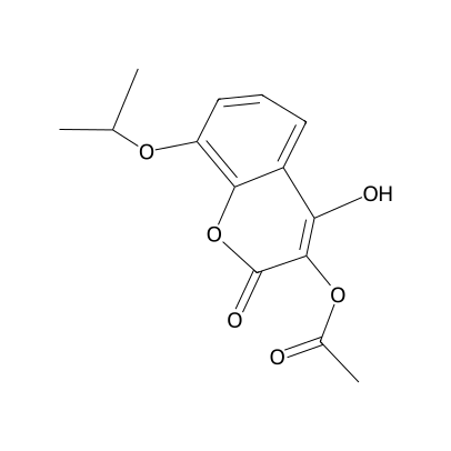 CC(=O)Oc1c(O)c2cccc(OC(C)C)c2oc1=O